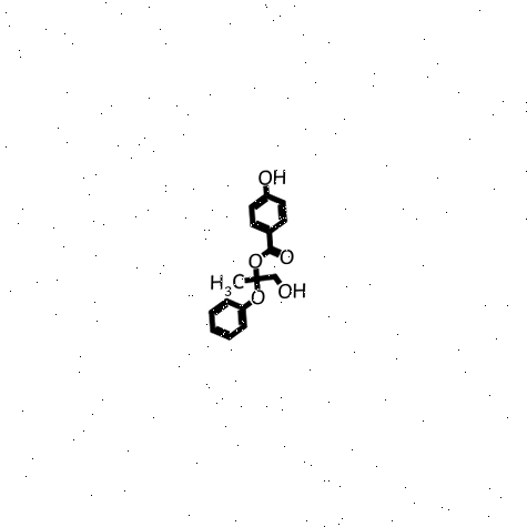 CC(CO)(OC(=O)c1ccc(O)cc1)Oc1ccccc1